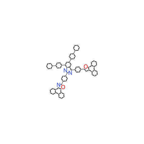 c1ccc(-c2ccc(-c3cc(-c4ccc(-c5ccccc5)cc4)c4nc(-c5ccc(-c6nc7c8ccccc8c8ccccc8c7o6)cc5)nc(-c5ccc(-c6cc7c8ccccc8c8ccccc8c7o6)cc5)c4c3)cc2)cc1